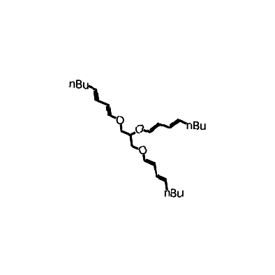 CCCCC=CC=COCC(COC=CC=CCCCC)OC=CC=CCCCC